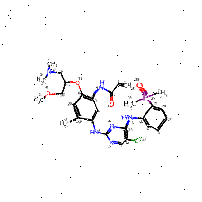 C=CC(=O)Nc1cc(Nc2ncc(Cl)c(Nc3ccccc3P(C)(C)=O)n2)c(C)cc1OC(COC)CN(C)C